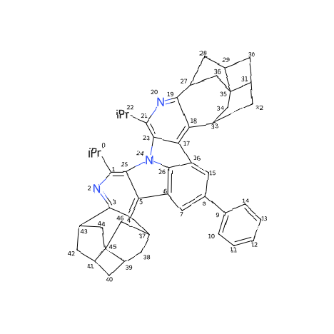 CC(C)c1nc2c(c3c4cc(-c5ccccc5)cc5c6c7c(nc(C(C)C)c6n(c13)c45)C1CC3CC4CC7CC34C1)C1CC3CC4CC2CC43C1